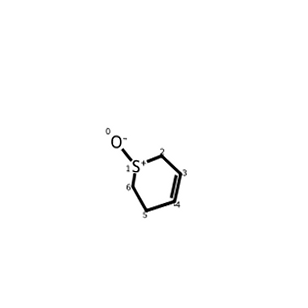 [O-][S+]1CC=[C]CC1